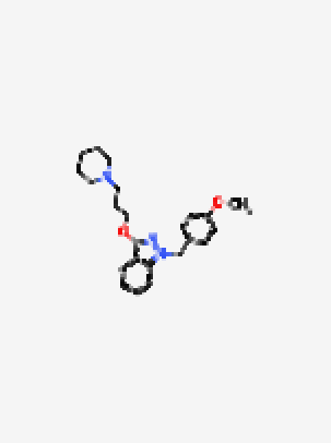 COc1ccc(Cn2nc(OCCCN3CCCCC3)c3ccccc32)cc1